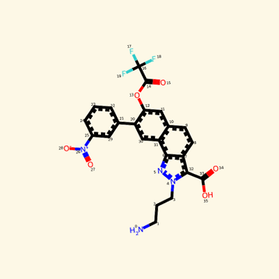 NCCCn1nc2c(ccc3cc(OC(=O)C(F)(F)F)c(-c4cccc([N+](=O)[O-])c4)cc32)c1C(=O)O